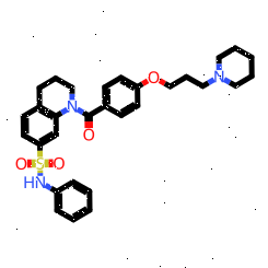 O=C(c1ccc(OCCCN2CCCCC2)cc1)N1CCCc2ccc(S(=O)(=O)Nc3ccccc3)cc21